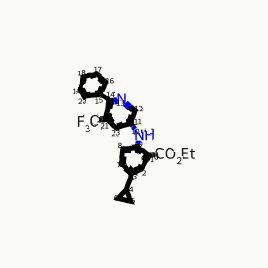 CCOC(=O)c1cc(C2CC2)ccc1Nc1cnc(-c2ccccc2)c(C(F)(F)F)c1